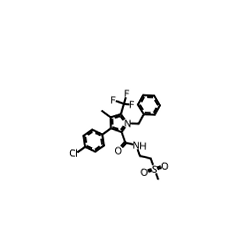 Cc1c(-c2ccc(Cl)cc2)c(C(=O)NCCS(C)(=O)=O)n(Cc2ccccc2)c1C(F)(F)F